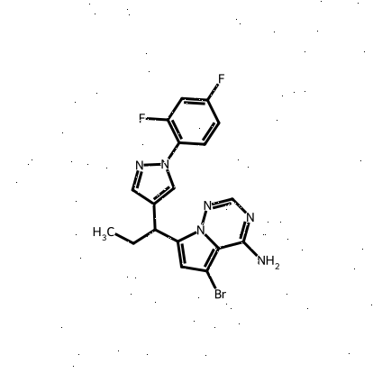 CCC(c1cnn(-c2ccc(F)cc2F)c1)c1cc(Br)c2c(N)ncnn12